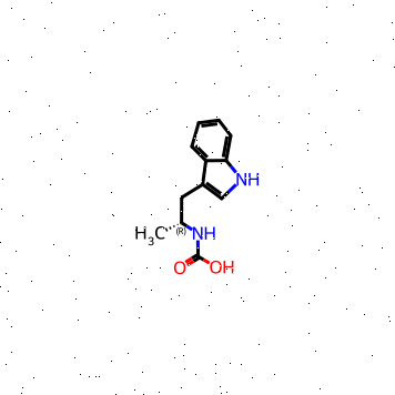 C[C@H](Cc1c[nH]c2ccccc12)NC(=O)O